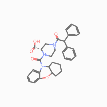 O=C(O)[C@@H]1CN(C(=O)C(c2ccccc2)c2ccccc2)CCN1C(=O)N1c2ccccc2OC2CCCCC21